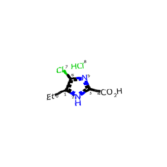 CCc1[nH]c(C(=O)O)nc1Cl.Cl